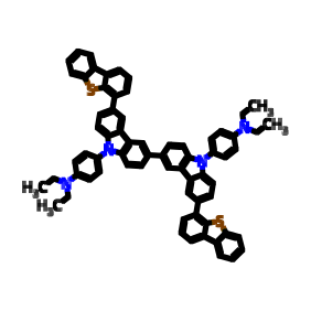 CCN(CC)c1ccc(-n2c3ccc(-c4ccc5c(c4)c4cc(-c6cccc7c6sc6ccccc67)ccc4n5-c4ccc(N(CC)CC)cc4)cc3c3cc(-c4cccc5c4sc4ccccc45)ccc32)cc1